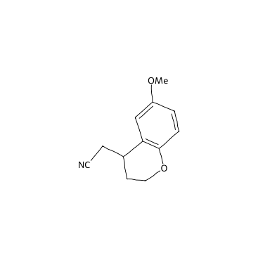 COc1ccc2c(c1)C(CC#N)CCO2